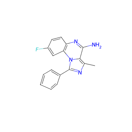 Cc1nc(-c2ccccc2)n2c1c(N)nc1ccc(F)cc12